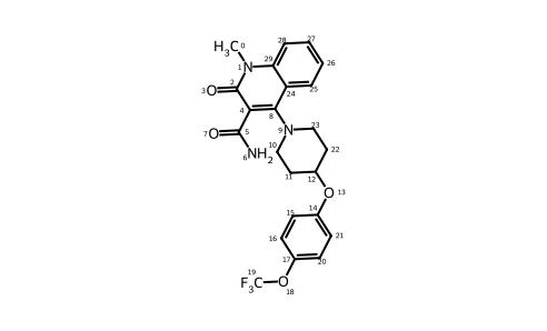 Cn1c(=O)c(C(N)=O)c(N2CCC(Oc3ccc(OC(F)(F)F)cc3)CC2)c2ccccc21